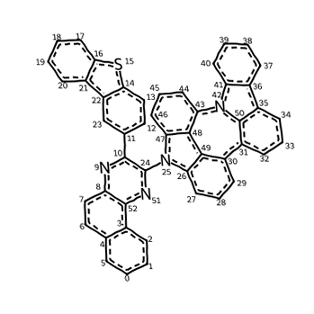 c1ccc2c(c1)ccc1nc(-c3ccc4sc5ccccc5c4c3)c(-n3c4cccc5c6cccc7c8ccccc8n(c8cccc3c8c54)c67)nc12